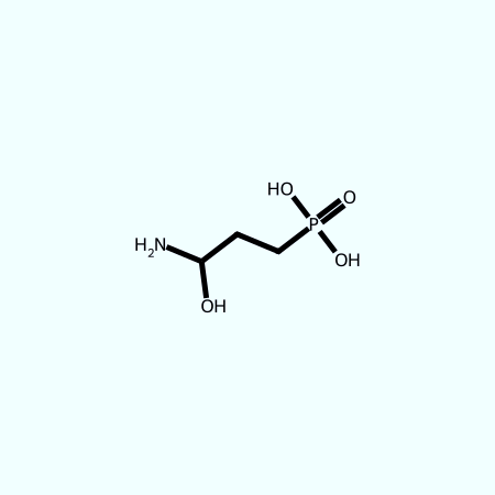 NC(O)CCP(=O)(O)O